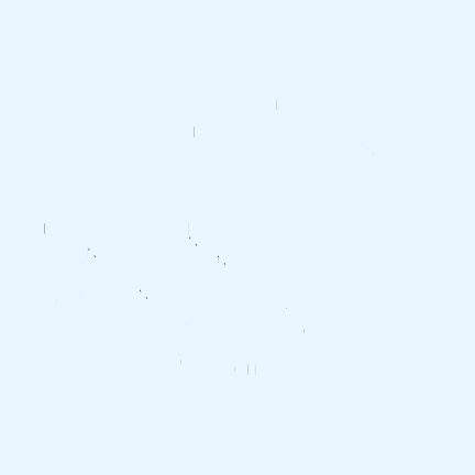 CN1C[C@H]2Nn3c(-c4cc(F)c(F)c5c4Cc4ccccc4SC5)cc(=O)c(O)c3C(=O)N2CC1=O